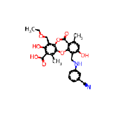 CCOCc1c(O)c(C(=O)O)c(C)c2c1OC(=O)c1c(C)cc(O)c(CNc3cccc(C#N)c3)c1O2